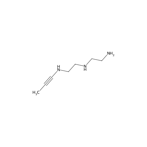 CC#CNCCNCCN